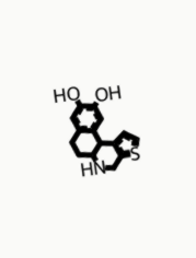 Oc1cc2c(cc1O)C1c3ccsc3CNC1CC2